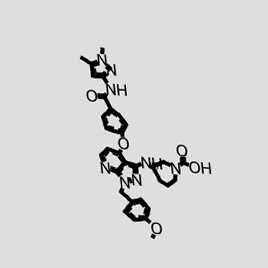 COc1ccc(Cn2nc(N[C@@H]3CCCN(C(=O)O)C3)c3c(Oc4ccc(C(=O)Nc5cc(C)n(C)n5)cc4)ccnc32)cc1